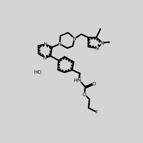 Cc1c(CN2CCN(c3nccnc3-c3ccc(CNC(=O)OCCF)cc3)CC2)cnn1C.Cl